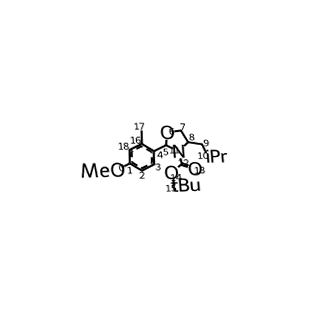 COc1ccc(C2OCC(CC(C)C)N2C(=O)OC(C)(C)C)c(C)c1